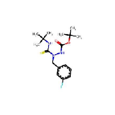 CC(C)(C)NC(=S)N(Cc1cccc(F)c1)NC(=O)OC(C)(C)C